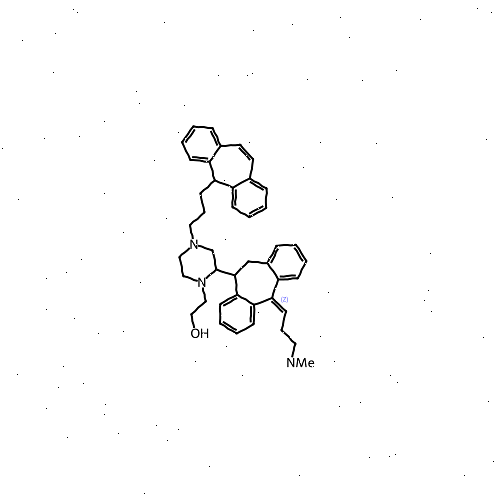 CNCC/C=C1/c2ccccc2CC(C2CN(CCCC3c4ccccc4C=Cc4ccccc43)CCN2CCO)c2ccccc21